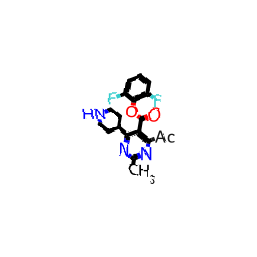 CC(=O)c1nc(C)nc(C2CCNCC2)c1C(=O)Oc1c(F)cccc1F